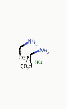 CCOC(=O)CN.Cl.NCC(=O)O